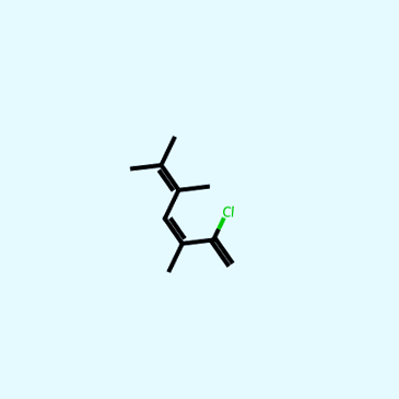 C=C(Cl)/C(C)=C\C(C)=C(C)C